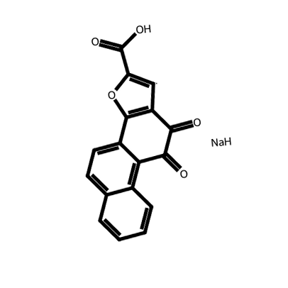 O=C(O)c1[c]c2c(o1)-c1ccc3ccccc3c1C(=O)C2=O.[NaH]